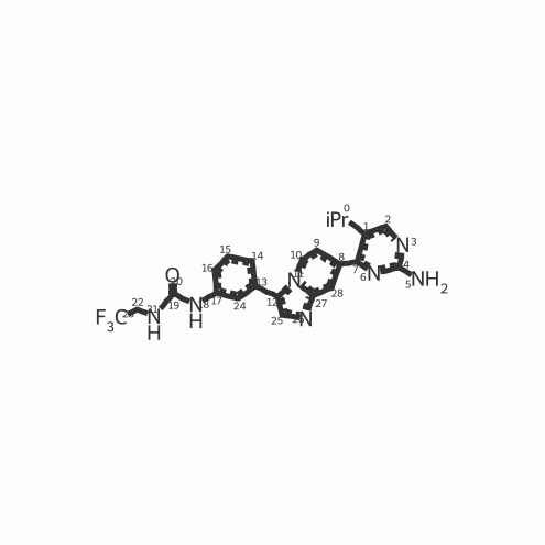 CC(C)c1cnc(N)nc1-c1ccn2c(-c3cccc(NC(=O)NCC(F)(F)F)c3)cnc2c1